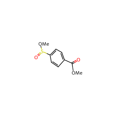 COC(=O)c1ccc(S(=O)OC)cc1